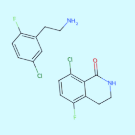 NCCc1cc(Cl)ccc1F.O=C1NCCc2c(F)ccc(Cl)c21